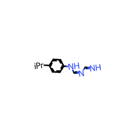 CC(C)c1ccc(N/C=N\C=N)cc1